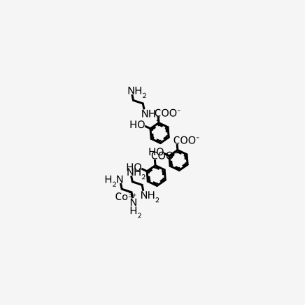 NCCN.NCCN.NCCN.O=C([O-])c1ccccc1O.O=C([O-])c1ccccc1O.O=C([O-])c1ccccc1O.[Co+3]